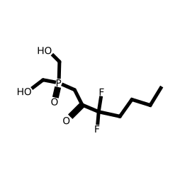 CCCCC(F)(F)C(=O)CP(=O)(CO)CO